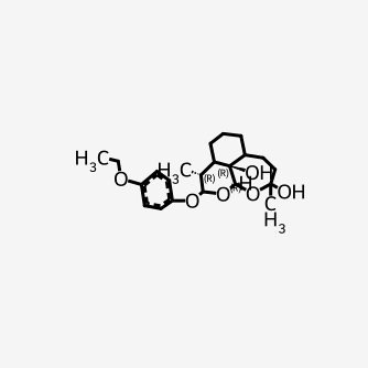 CCOc1ccc(OC2O[C@@H]3OC(C)(O)CCC4CCCC([C@H]2C)[C@]43O)cc1